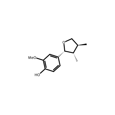 COc1cc([C@@H]2OC[C@@H](C)[C@@H]2C)ccc1O